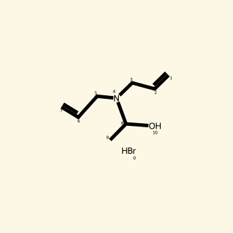 Br.C=CCN(CC=C)C(C)O